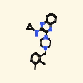 Cc1cccc(CN2CCN(c3nc4ccccc4nc3NC3CC3)CC2)c1C